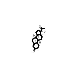 CC(=O)[C@@]1(Br)CC[C@H]2[C@@H]3CCC4=CC(=O)CC[C@]4(C)[C@H]3CC[C@@]21C